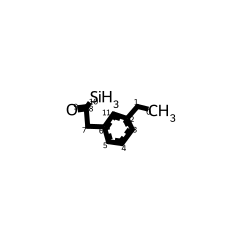 CCc1cccc(CC(=O)[SiH3])c1